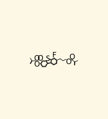 C=C(C)C(=O)OCCCc1ccc2c(sc3c(OC)c(OC(=O)C(=C)C)ccc32)c1F